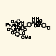 COC(=O)c1ccc2oc(C(=O)C(NC(=O)[C@@H]3CCCN3C(=O)[C@@H](NC(=O)c3ccc(NC(=O)NS(=O)(=O)c4ccc(Cl)cc4)cc3)C(C)C)C(C)C)nc2c1